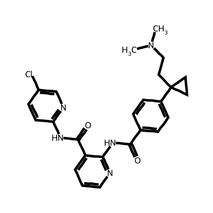 CN(C)CCC1(c2ccc(C(=O)Nc3ncccc3C(=O)Nc3ccc(Cl)cn3)cc2)CC1